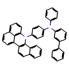 c1ccc(-c2cccc(N(c3ccccc3)c3ccc(N4c5c(ccc6ccccc56)-c5cccc6cccc4c56)cc3)c2)cc1